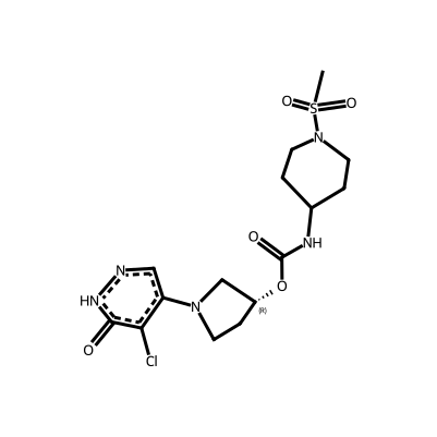 CS(=O)(=O)N1CCC(NC(=O)O[C@@H]2CCN(c3cn[nH]c(=O)c3Cl)C2)CC1